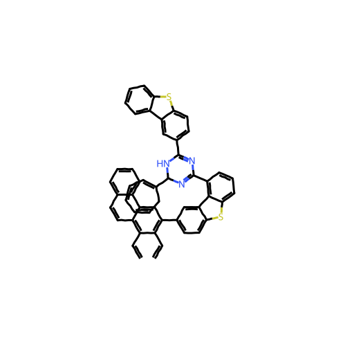 C=Cc1c(-c2ccc3sc4cccc(C5=NC(C6=CC=CC=CC6)NC(c6ccc7sc8ccccc8c7c6)=N5)c4c3c2)cc2c(ccc3ccccc32)c1C=C